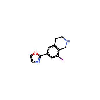 Ic1cc(-c2ncco2)cc2c1CNCC2